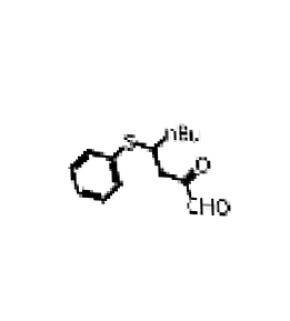 CCCCC(CC(=O)C=O)Sc1ccccc1